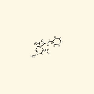 COc1cc(O)cc(O)c1C(=O)C=CC1C=CC=CC1